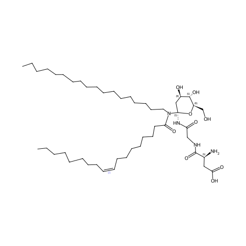 CCCCCCCC/C=C\CCCCCCCC(=O)N(CCCCCCCCCCCCCCCCCC)[C@@]1(NC(=O)CNC(=O)[C@@H](N)CC(=O)O)C[C@@H](O)[C@H](O)[C@@H](CO)O1